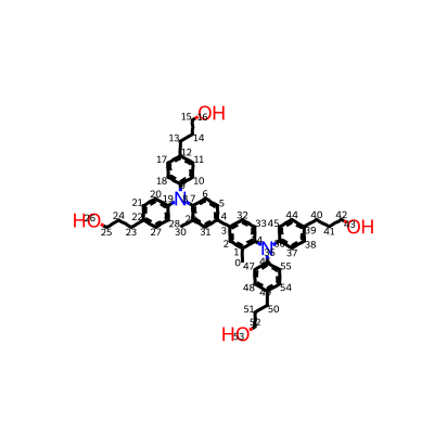 Cc1cc(-c2ccc(N(c3ccc(CCCO)cc3)c3ccc(CCCO)cc3)c(C)c2)ccc1N(c1ccc(CCCO)cc1)c1ccc(CCCO)cc1